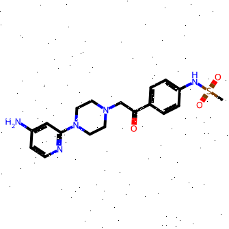 CS(=O)(=O)Nc1ccc(C(=O)CN2CCN(c3cc(N)ccn3)CC2)cc1